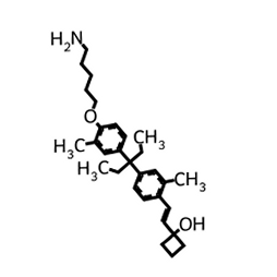 CCC(CC)(c1ccc(/C=C/C2(O)CCC2)c(C)c1)c1ccc(OCCCCCN)c(C)c1